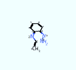 C=C/N=C1/C=CC=C/C1=N/N